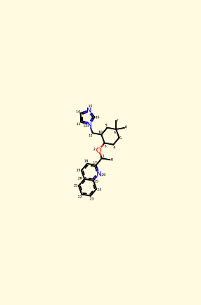 CC(OC1CCC(C)(C)CC1Cn1ccnc1)c1ccc2ccccc2n1